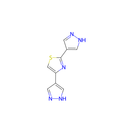 c1n[nH]cc1-c1csc(-c2cn[nH]c2)n1